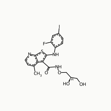 Cc1ccnc2sc(Nc3ccc(I)cc3F)c(C(=O)NOC[C@H](O)CO)c12